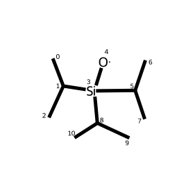 CC(C)[Si]([O])(C(C)C)C(C)C